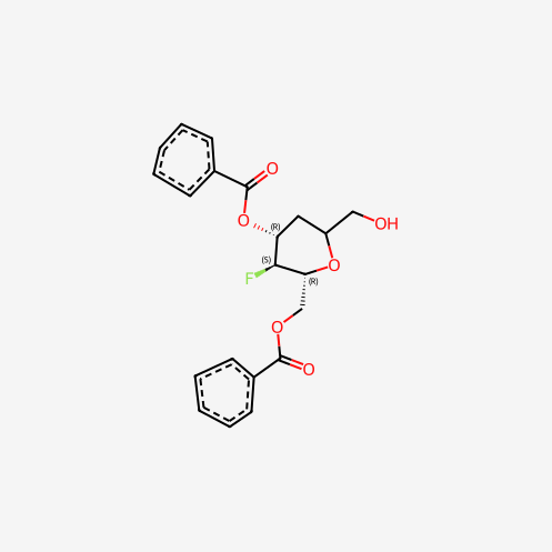 O=C(OC[C@H]1OC(CO)C[C@@H](OC(=O)c2ccccc2)[C@@H]1F)c1ccccc1